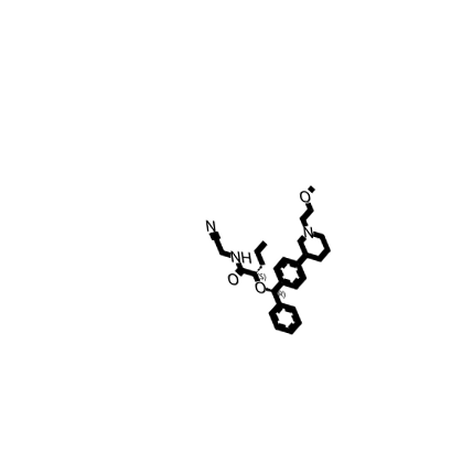 CCC[C@H](O[C@H](c1ccccc1)c1ccc(C2CCCN(CCOC)C2)cc1)C(=O)NCC#N